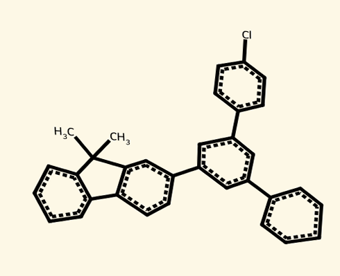 CC1(C)c2ccccc2-c2ccc(-c3cc(-c4ccccc4)cc(-c4ccc(Cl)cc4)c3)cc21